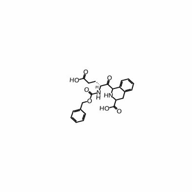 O=C(O)CC[C@@H](NC(=O)OCc1ccccc1)C(=O)C1NC(C(=O)O)Cc2ccccc21